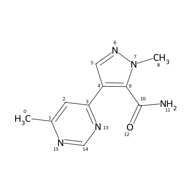 Cc1cc(-c2cnn(C)c2C(N)=O)ncn1